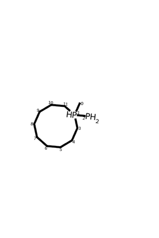 C[PH]1(P)CCCCCCCCC1